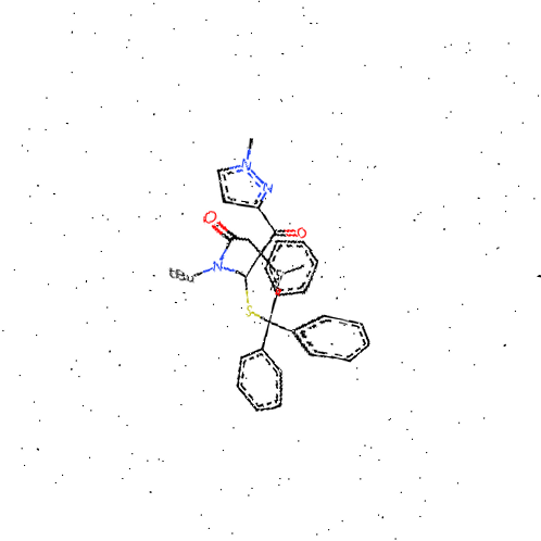 Cn1ccc(C(=O)C2([SiH](C)C)C(=O)N(C(C)(C)C)C2SC(c2ccccc2)(c2ccccc2)c2ccccc2)n1